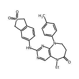 CCN1C(=O)CCN(c2ccc(C)cc2)c2nc(Nc3ccc4c(c3)CS(=O)(=O)C4)ncc21